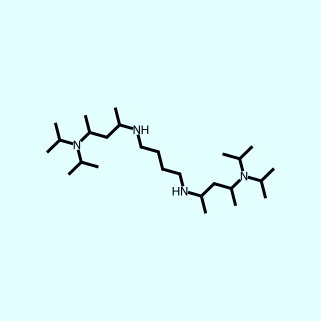 CC(CC(C)N(C(C)C)C(C)C)NCCCCNC(C)CC(C)N(C(C)C)C(C)C